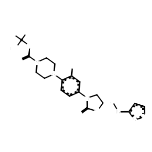 CC(C)(C)OC(=O)N1CCN(c2ccc(N3C[C@H](CNc4ccon4)OC3=O)cc2F)CC1